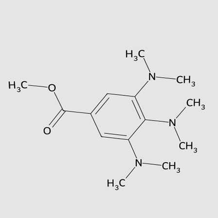 COC(=O)c1cc(N(C)C)c(N(C)C)c(N(C)C)c1